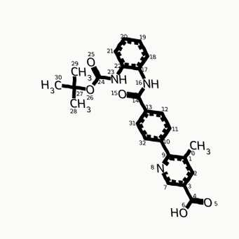 Cc1cc(C(=O)O)cnc1-c1ccc(C(=O)Nc2ccccc2NC(=O)OC(C)(C)C)cc1